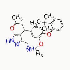 COc1cc(C(CC(C)=O)c2c[nH]nc2C=N)ccc1Oc1ccccc1C(C)(C)C